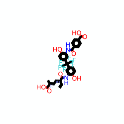 C=C/C(=C\C=C(/C)C(=O)O)C(=O)Nc1cc(C(c2ccc(O)c(NC(=O)c3ccc(C(=O)O)cc3)c2)(C(F)(F)F)C(F)(F)F)ccc1O